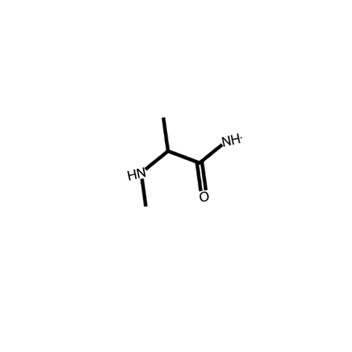 CNC(C)C([NH])=O